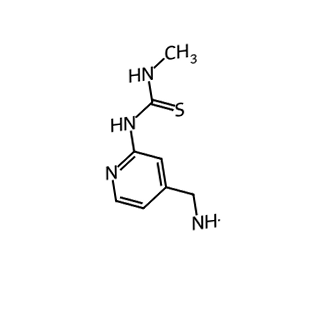 CNC(=S)Nc1cc(C[NH])ccn1